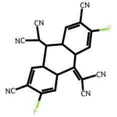 N#CC1=CC2C(C=C1F)C(=C(C#N)C#N)C1C=C(F)C(C#N)=CC1C2C(C#N)C#N